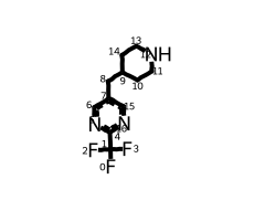 FC(F)(F)c1ncc(CC2CCNCC2)cn1